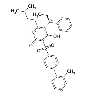 CC[C@@H](c1ccccc1)n1c(CCC(C)C)nc(=O)c(S(=O)(=O)c2ccc(-c3ccncc3C)cc2)c1O